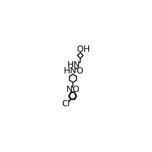 O=C(NCC1CC(O)C1)NC1CCC(c2nc3cc(Cl)ccc3o2)CC1